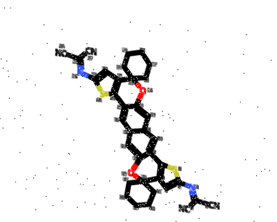 N#CC(C#N)=Nc1cc2c(s1)C1=CC3C=C4OC5(CCCCC5)c5cc(N=C(C#N)C#N)sc5C4=CC3C=C1OC21CCCCC1